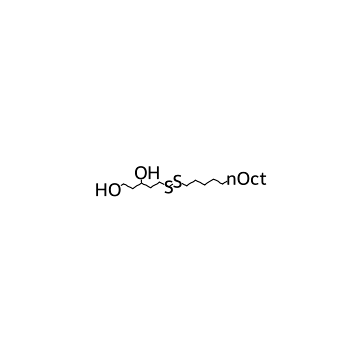 CCCCCCCCCCCCCSSCCC(O)CCO